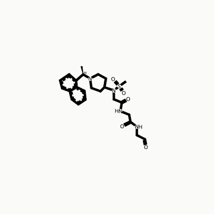 C[C@H](c1cccc2ccccc12)N1CCC(N(CC(=O)NCC(=O)NCC=O)S(C)(=O)=O)CC1